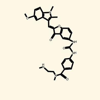 CNCCN(C)C(=O)c1ccc(NC(=O)Nc2ccc3c(c2)C(=O)/C(=C/c2c(C)n(C)c4ccc(OC)cc24)O3)cc1